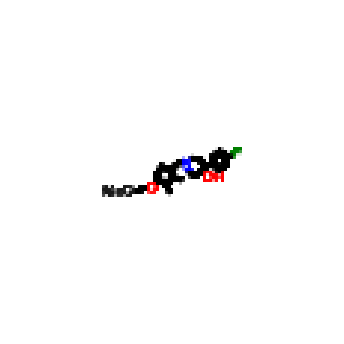 COCCOc1ccc(CN2CCC(O)(c3ccc(F)cc3)CC2)c(C)c1C